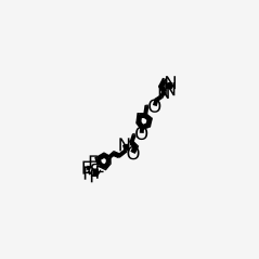 FS(F)(F)(F)(F)c1ccc(C=Cc2nc(COc3ccc(COCCn4ccnn4)cc3)co2)cc1